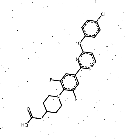 O=C(O)CC1CCN(c2c(F)cc(-c3nccc(Oc4ccc(Cl)cc4)n3)cc2F)CC1